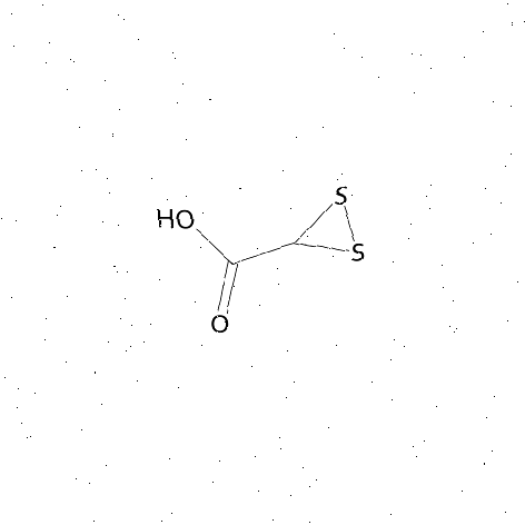 O=C(O)C1SS1